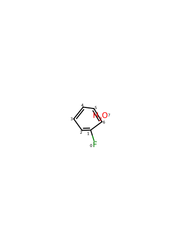 Fc1ccccc1.O